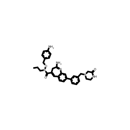 CCCN(OCc1ccc(N)cc1)C(=O)C1=Cc2ccc(-c3cccc(CN4CCNC(=O)C4)c3)cc2N=C(N)C1